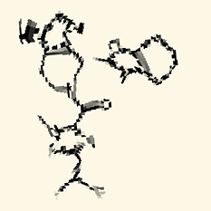 Cn1nc(C(F)F)nc1C(=O)N1CCc2[nH]cnc2[C@H]1c1cc2ccccc2o1